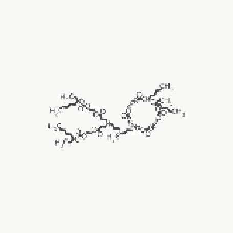 CCCCCC(CC)OC(=O)OCCOC(=O)CCN(CCCN(C)CCCN1CCC(=O)OCCOC(=O)OC(CCCCC)CC(CC)(CCCCC)OC(=O)OCCOC(=O)CC1)CCC(=O)OCCOC(=O)OC(CC)CCCCC